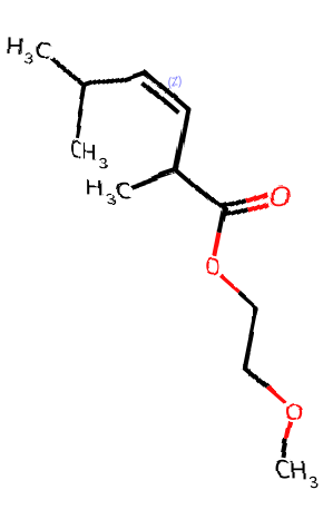 COCCOC(=O)C(C)/C=C\C(C)C